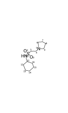 O=S(=O)(CCN1CCCC1)NC1C[CH]CCC1